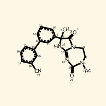 CC(=O)N1CCN2C(=O)C(C)(c3cccc(-c4cccc(C#N)c4)c3)NC2=NC1=O